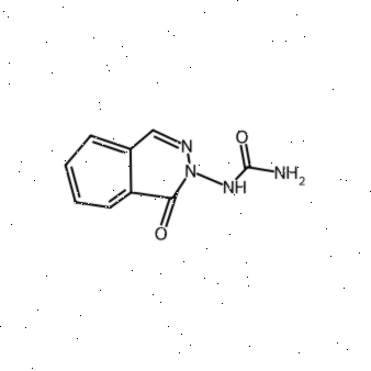 NC(=O)Nn1ncc2ccccc2c1=O